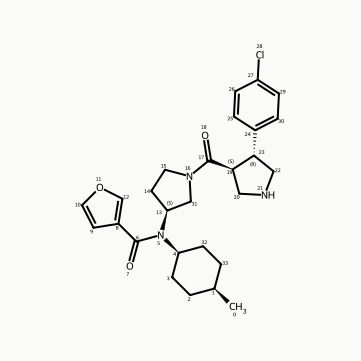 C[C@H]1CC[C@@H](N(C(=O)c2ccoc2)[C@H]2CCN(C(=O)[C@@H]3CNC[C@H]3c3ccc(Cl)cc3)C2)CC1